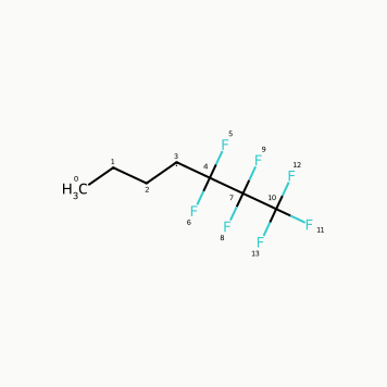 CCC[CH]C(F)(F)C(F)(F)C(F)(F)F